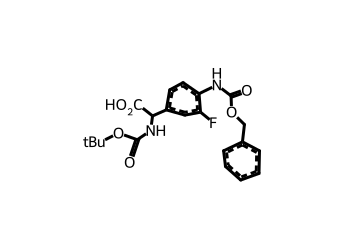 CC(C)(C)OC(=O)NC(C(=O)O)c1ccc(NC(=O)OCc2ccccc2)c(F)c1